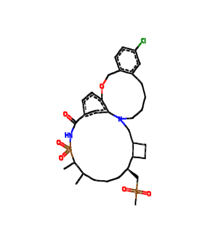 CC1CCC[C@H](CS(C)(=O)=O)C2CCC2CN2CCCCc3cc(Cl)ccc3COc3ccc(cc32)C(=O)NS(=O)(=O)C1C